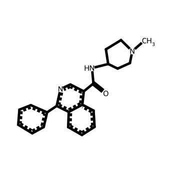 CN1CCC(NC(=O)c2cnc(-c3ccccc3)c3ccccc23)CC1